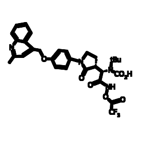 Cc1cc(COc2ccc(N3CC[C@H]([C@@H](C(=O)NOC(=O)C(F)(F)F)N(C(=O)O)C(C)(C)C)C3=O)cc2)c2ccccc2n1